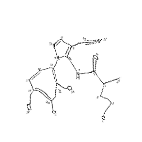 CC(CCCl)C(=O)Nc1c(C#N)cnn1-c1ccc(Cl)c(Cl)c1Cl